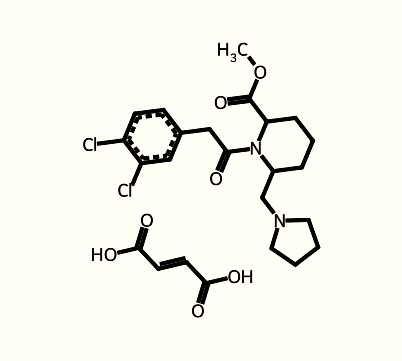 COC(=O)C1CCCC(CN2CCCC2)N1C(=O)Cc1ccc(Cl)c(Cl)c1.O=C(O)C=CC(=O)O